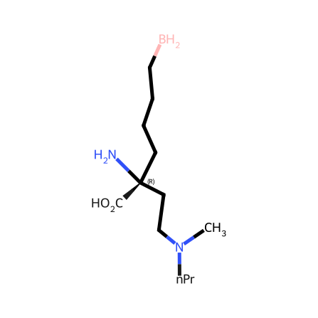 BCCCC[C@@](N)(CCN(C)CCC)C(=O)O